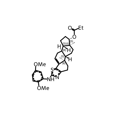 CCC(=O)O[C@H]1CC[C@H]2[C@@H]3CC=C4c5sc(Nc6cc(OC)ccc6OC)nc5CC[C@]4(C)[C@H]3CC[C@]12C